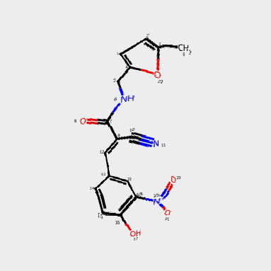 Cc1ccc(CNC(=O)/C(C#N)=C/c2ccc(O)c([N+](=O)[O-])c2)o1